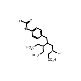 CCCN(CC(=O)O)CC(Cc1ccc(NC(=O)CC)cc1)N(CC(=O)O)CC(=O)O